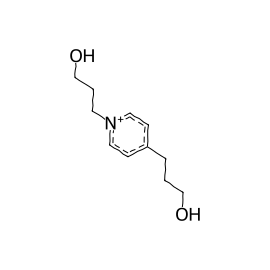 OCCCc1cc[n+](CCCO)cc1